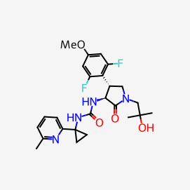 COc1cc(F)c([C@@H]2CN(CC(C)(C)O)C(=O)[C@H]2NC(=O)NC2(c3cccc(C)n3)CC2)c(F)c1